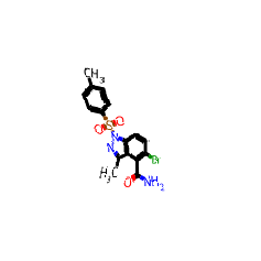 Cc1ccc(S(=O)(=O)n2nc(C)c3c(C(N)=O)c(Br)[c]cc32)cc1